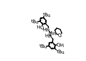 C1CCOCC1.CC(C)(C)c1cc(C[NH][Mn][NH]Cc2cc(C(C)(C)C)cc(C(C)(C)C)c2O)c(O)c(C(C)(C)C)c1